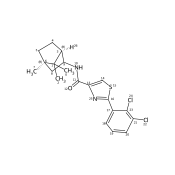 CC1(C)[C@H]2CC[C@]1(C)CC2NC(=O)c1csc(-c2cccc(Cl)c2Cl)n1